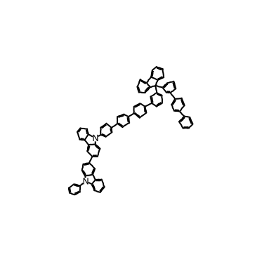 c1ccc(-c2ccc(-c3cccc(C4(c5cccc(-c6ccc(-c7ccc(-c8ccc(-n9c%10ccccc%10c%10cc(-c%11ccc%12c(c%11)c%11ccccc%11n%12-c%11ccccc%11)ccc%109)cc8)cc7)cc6)c5)c5ccccc5-c5ccccc54)c3)cc2)cc1